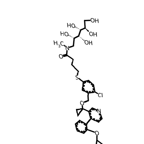 CN(C[C@H](O)[C@@H](O)[C@H](O)[C@H](O)CO)C(=O)CCCSc1ccc(Cl)c(COC2(c3cnccc3-c3ccccc3OC3CC3)CC2)c1